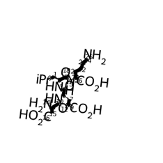 CC(C)C[C@H](NC(=O)[C@H](CCC(=O)O)NC(=O)[C@@H](N)CC(=O)O)C(=O)N[C@H](CCCCN)C(=O)O